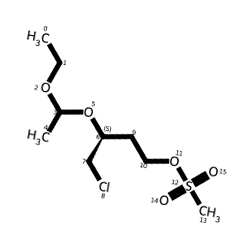 CCOC(C)O[C@H](CCl)CCOS(C)(=O)=O